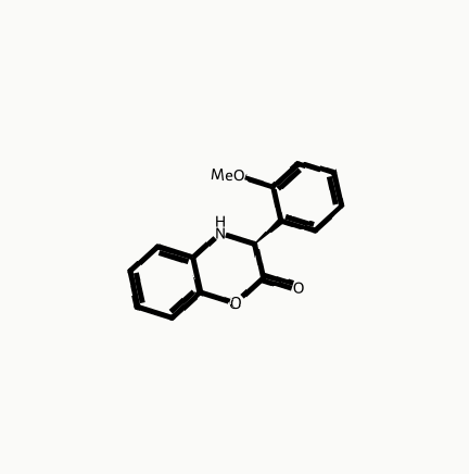 COc1ccccc1[C@@H]1Nc2ccccc2OC1=O